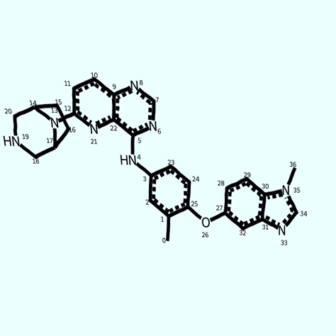 Cc1cc(Nc2ncnc3ccc(N4C5CCC4CNC5)nc23)ccc1Oc1ccc2c(c1)ncn2C